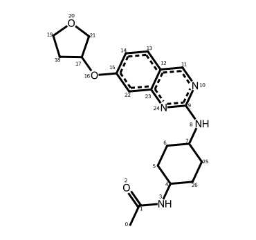 CC(=O)NC1CCC(Nc2ncc3ccc(OC4CCOC4)cc3n2)CC1